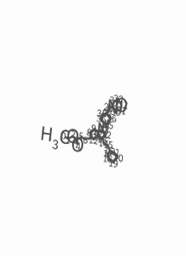 CCOC(=O)CCc1ccc2c(c1)c(CCc1ccccc1)cn2-c1ccc(CN2CCOCC2)cc1